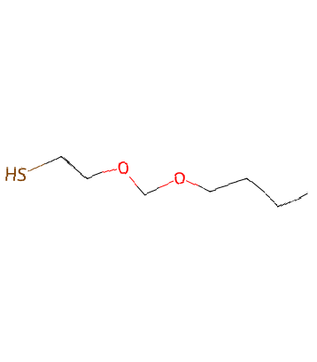 CCCCOCOCCS